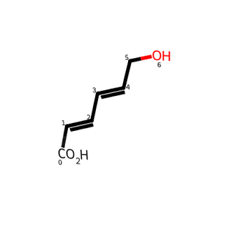 O=C(O)/C=C/C=C/CO